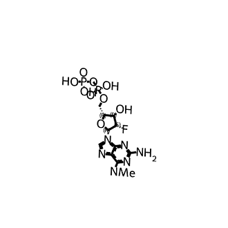 CNc1nc(N)nc2c1ncn2[C@@H]1O[C@H](COP(=O)(O)OP(=O)(O)O)[C@@H](O)[C@@H]1F